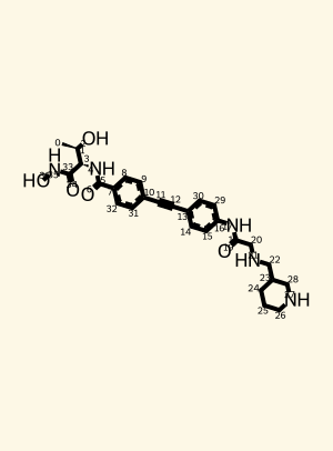 C[C@@H](O)[C@H](NC(=O)c1ccc(C#Cc2ccc(NC(=O)CNCC3CCCNC3)cc2)cc1)C(=O)NO